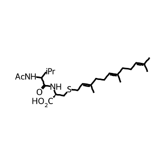 CC(=O)NC(C(=O)N[C@@H](CSC/C=C(\C)CC/C=C(\C)CCC=C(C)C)C(=O)O)C(C)C